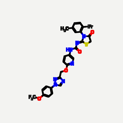 Cc1ccc(C(C)C)c(N2C(=O)CSC2=NC(=O)Nc2ccc(OCc3ncn(-c4ccc(OC(F)(F)F)cc4)n3)nc2)c1